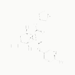 Cl.O=C(O[C@@H]1CCNC1)[C@H]1[C@H](C(=O)Nc2ccc(Br)nc2)[C@@H]2CC[C@H]1C21CC1